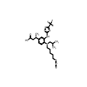 CC(C)CN(CCCCCN=[N+]=[N-])c1ccc([C@H](C)CC(=O)O)cc1Nc1nc(C(F)(F)F)ns1